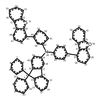 c1ccc(C2(c3ccccc3)c3ccccc3-c3cc(N(c4ccc(-c5cccc6oc7ccccc7c56)cc4)c4cccc(-c5cccc6c5sc5ccccc56)c4)ccc32)cc1